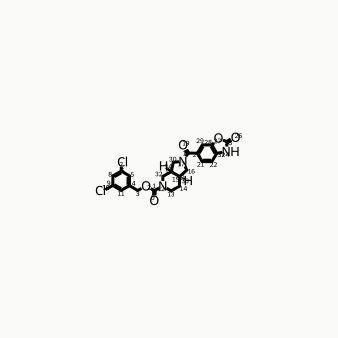 O=C(OCc1cc(Cl)cc(Cl)c1)N1CC[C@@H]2CN(C(=O)c3ccc4[nH]c(=O)oc4c3)C[C@H]2C1